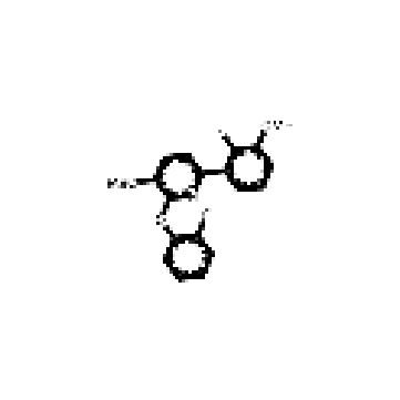 COc1ccc(-c2cccc(OC)c2F)nc1Oc1ccccc1Cl